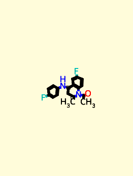 CC(=O)N1c2ccc(F)cc2[C@H](Nc2ccc(F)cc2)C[C@@H]1C